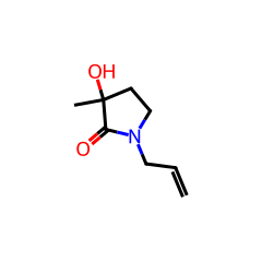 C=CCN1CCC(C)(O)C1=O